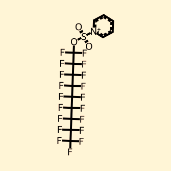 O=S(=O)(OC(F)(F)C(F)(F)C(F)(F)C(F)(F)C(F)(F)C(F)(F)C(F)(F)C(F)(F)C(F)(F)F)[n+]1ccccc1